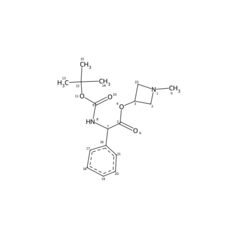 CN1CC(OC(=O)C(NC(=O)OC(C)(C)C)c2ccccc2)C1